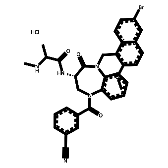 CNC(C)C(=O)N[C@H]1CN(C(=O)c2cccc(C#N)c2)c2ccccc2N(Cc2c(OC)ccc3cc(Br)ccc23)C1=O.Cl